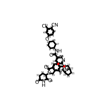 N#Cc1ccc(O[C@H]2CC[C@H](NC(=O)c3ccc(N4CC5CCC(C4)N5Cc4ccc5c(c4F)CN(C4CCC(=O)NC4=O)C5=O)nn3)CC2)cc1Cl